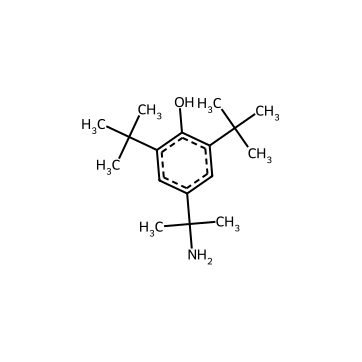 CC(C)(C)c1cc(C(C)(C)N)cc(C(C)(C)C)c1O